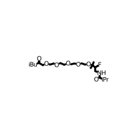 CCC(C)C(=O)COCCOCCOCCOCCOC(C)(C)C(F)CNC(=O)C(C)C